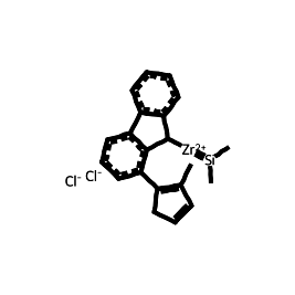 CC1=C(c2cccc3c2[CH]([Zr+2]=[Si](C)C)c2ccccc2-3)CC=C1.[Cl-].[Cl-]